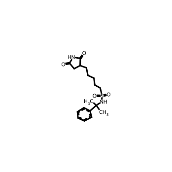 CC(C)(NS(=O)(=O)CCCCCC1CC(=O)NC1=O)c1ccccc1